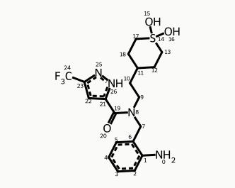 Nc1ccccc1CN(CCC1CCS(O)(O)CC1)C(=O)c1cc(C(F)(F)F)n[nH]1